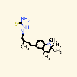 CC(=C/C=N/NC(N)=S)/C=C/c1ccc2c(c1)C(C)CC(C)(C)N2C